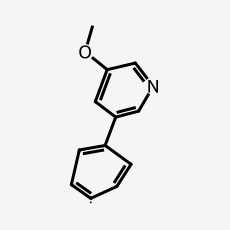 COc1cncc(-c2cc[c]cc2)c1